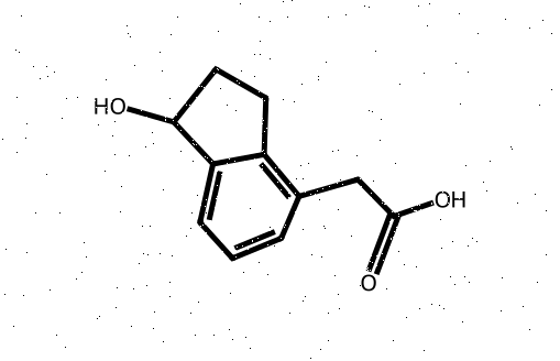 O=C(O)Cc1cccc2c1CCC2O